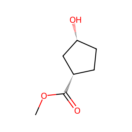 COC(=O)[C@H]1CC[C@@H](O)C1